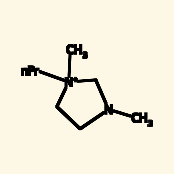 CCC[N+]1(C)CCN(C)C1